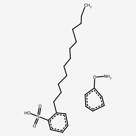 CCCCCCCCCCCCc1ccccc1S(=O)(=O)O.NOc1ccccc1